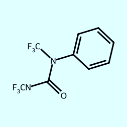 O=C(NC(F)(F)F)N(c1ccccc1)C(F)(F)F